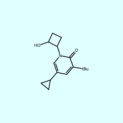 CC(C)(C)c1cc(C2CC2)cn(C2CCC2O)c1=O